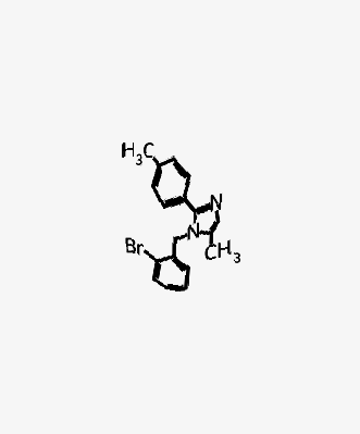 Cc1ccc(-c2ncc(C)n2Cc2ccccc2Br)cc1